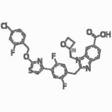 O=C(O)c1ccc2nc(Cc3cc(F)c(-c4csc(OCc5ccc(Cl)cc5F)n4)cc3F)n(C[C@@H]3CCO3)c2c1